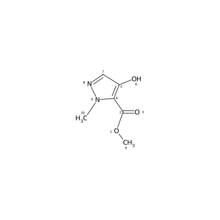 COC(=O)c1c(O)cnn1C